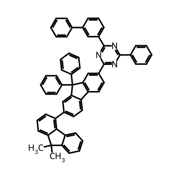 CC1(C)c2ccccc2-c2c(-c3ccc4c(c3)C(c3ccccc3)(c3ccccc3)c3cc(-c5nc(-c6ccccc6)nc(-c6cccc(-c7ccccc7)c6)n5)ccc3-4)cccc21